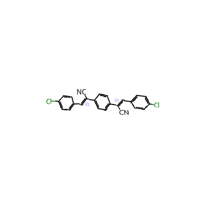 N#C/C(=C\c1ccc(Cl)cc1)c1ccc(/C(C#N)=C/c2ccc(Cl)cc2)cc1